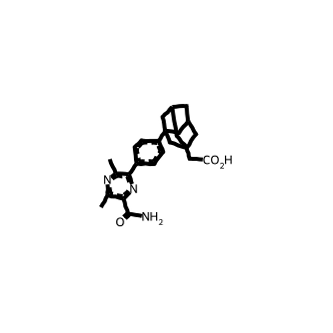 Cc1nc(C)c(-c2ccc(C34CC5CC(CC(CC(=O)O)(C5)C3)C4)cc2)nc1C(N)=O